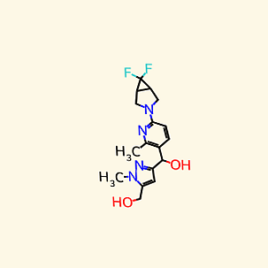 Cc1nc(N2CC3C(C2)C3(F)F)ccc1C(O)c1cc(CO)n(C)n1